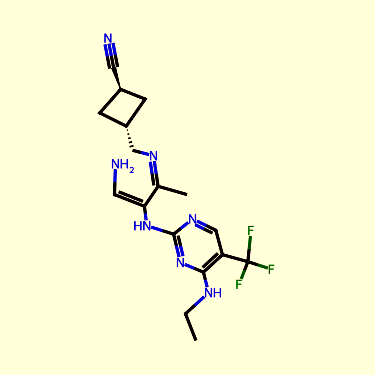 CCNc1nc(NC(=C/N)/C(C)=N\C[C@H]2C[C@H](C#N)C2)ncc1C(F)(F)F